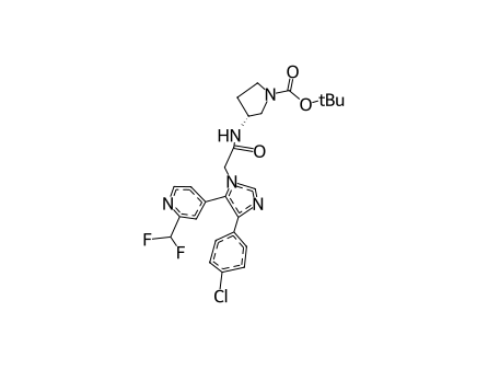 CC(C)(C)OC(=O)N1CC[C@@H](NC(=O)Cn2cnc(-c3ccc(Cl)cc3)c2-c2ccnc(C(F)F)c2)C1